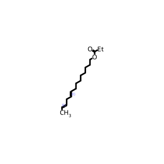 C/C=C/C/C=C/CCCCCCCCOC(=O)CC